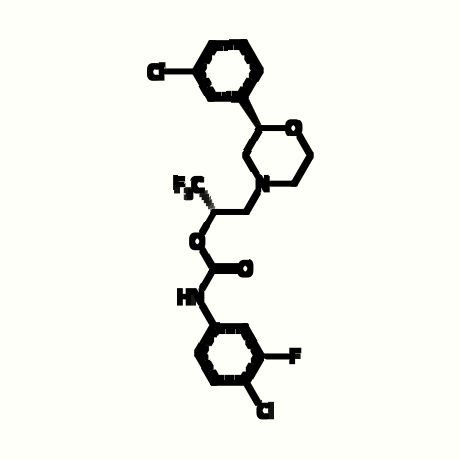 O=C(Nc1ccc(Cl)c(F)c1)O[C@@H](CN1CCO[C@H](c2cccc(Cl)c2)C1)C(F)(F)F